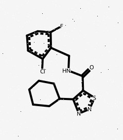 O=C(NCc1c(F)cccc1Cl)c1snnc1C1CCCCC1